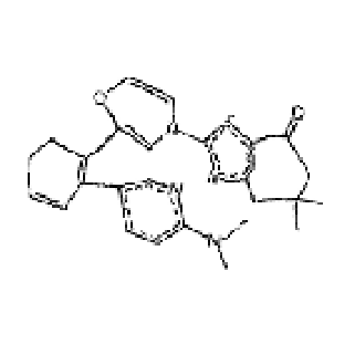 CN(C)c1ccc(C2=C(C3=CN(c4nc5c(s4)C(=O)CC(C)(C)C5)C=CO3)CCC=C2)cn1